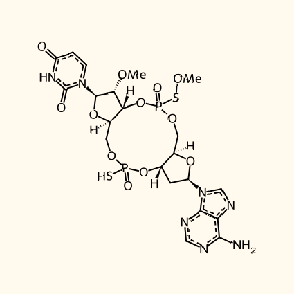 COSP1(=O)OC[C@H]2O[C@@H](n3cnc4c(N)ncnc43)C[C@@H]2OP(=O)(S)OC[C@H]2O[C@@H](n3ccc(=O)[nH]c3=O)[C@H](OC)[C@@H]2O1